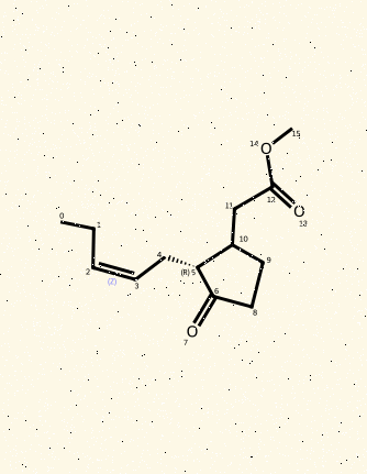 CC/C=C\C[C@H]1C(=O)CCC1CC(=O)OC